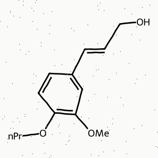 CCCOc1ccc(C=CCO)cc1OC